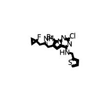 N[C@H](Cc1cc2c(NCc3cccs3)nc(Cl)nn2c1Br)CC1(F)CC1